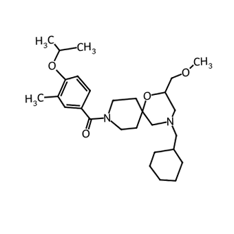 COCC1CN(CC2CCCCC2)CC2(CCN(C(=O)c3ccc(OC(C)C)c(C)c3)CC2)O1